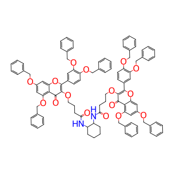 O=C(CCCOc1c(-c2ccc(OCc3ccccc3)c(OCc3ccccc3)c2)oc2cc(OCc3ccccc3)cc(OCc3ccccc3)c2c1=O)NC1CCCCC1NC(=O)CCCOc1c(-c2ccc(OCc3ccccc3)c(OCc3ccccc3)c2)oc2cc(OCc3ccccc3)cc(OCc3ccccc3)c2c1=O